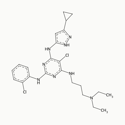 CCN(CC)CCCNc1nc(Nc2ccccc2Cl)nc(Nc2cc(C3CC3)n[nH]2)c1Cl